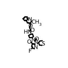 Cc1nc2ccccc2cc1OCC(=O)N[C@H]1CC[C@@H](n2c(=O)c3cc(F)cnc3n(C3CCSCC3)c2=O)CC1